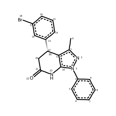 Cc1nn(-c2ccccc2)c2c1[C@@H](c1cccc(Br)c1)CC(=O)N2